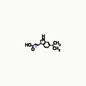 CC(C)c1ccc2c(/C=C/C(=O)O)c[nH]c2c1